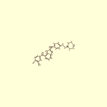 Fc1ccc(Nc2ncnc3nc(Nc4ccc(CCN5CCOCC5)cc4)sc23)cc1Cl